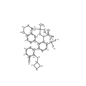 CC(C)(C)OC(C(=O)O)c1c(C(F)(F)F)ccc(-c2cccc(=O)n2CC2CCC2)c1-c1ccc2c(c1)CCCO2